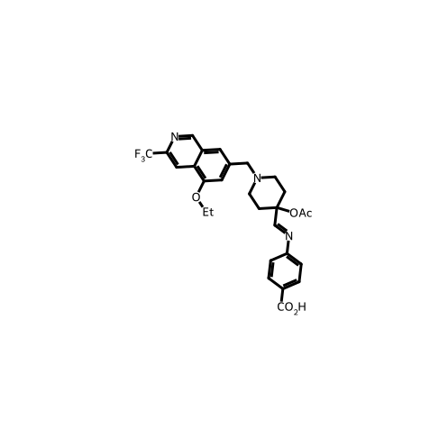 CCOc1cc(CN2CCC(/C=N/c3ccc(C(=O)O)cc3)(OC(C)=O)CC2)cc2cnc(C(F)(F)F)cc12